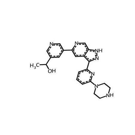 CC(O)c1cncc(-c2cc3c(-c4cccc(N5CCNCC5)n4)n[nH]c3cn2)c1